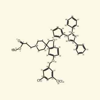 CC(C)(C)OC(=O)CCN1CCC2(CC1)COc1ccc(OCc3cc(Cl)cc(Cl)c3)cc12.[Cl-].c1ccc(-c2nn(-c3ccccc3)[n+](-c3ccccc3)n2)cc1